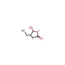 CC(C)CC1CC(=O)OC1O